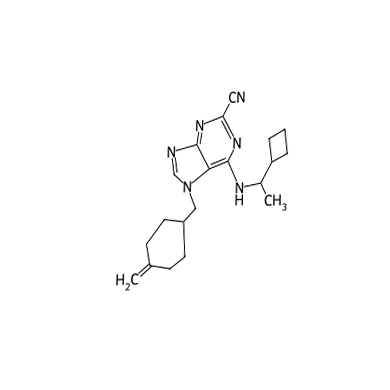 C=C1CCC(Cn2cnc3nc(C#N)nc(NC(C)C4CCC4)c32)CC1